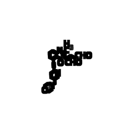 Cc1nc2cccc(C#Cc3ccc(CN4CCOCC4)cn3)c2c(=O)n1C(C=O)CCC=O